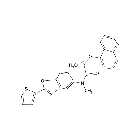 C[C@H](Oc1cccc2ccccc12)C(=O)N(C)c1ccc2oc(-c3cccs3)nc2c1